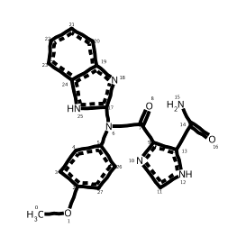 COc1ccc(N(C(=O)c2nc[nH]c2C(N)=O)c2nc3ccccc3[nH]2)cc1